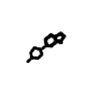 CN1CCN(c2ccc3ccnn3c2)CC1